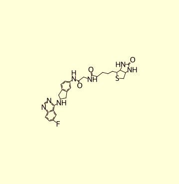 O=C(CCCCC1SCC2NC(=O)NC21)NCC(=O)Nc1ccc2c(c1)CC(Nc1ncnc3ccc(F)cc13)C2